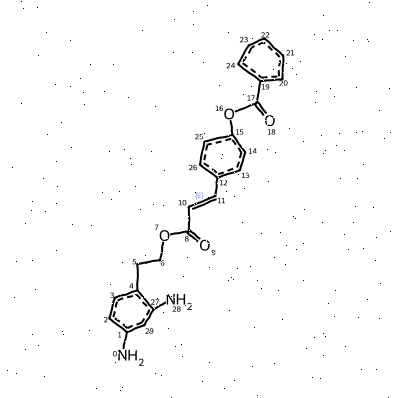 Nc1ccc(CCOC(=O)/C=C/c2ccc(OC(=O)c3ccccc3)cc2)c(N)c1